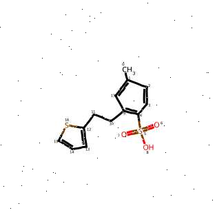 Cc1ccc(S(=O)(=O)O)c(CCc2cccs2)c1